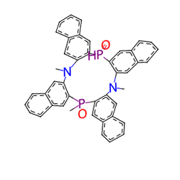 CN1c2cc3ccccc3cc2[PH](=O)c2cc3ccccc3cc2N(C)c2cc3ccccc3cc2P(C)(=O)c2cc3ccccc3cc21